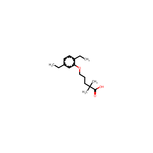 CCc1ccc(CC)c(OCCCC(C)(C)C(=O)O)c1